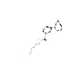 Cc1c(C(=O)NCCCCCC(=O)O)cccc1-c1ccccc1